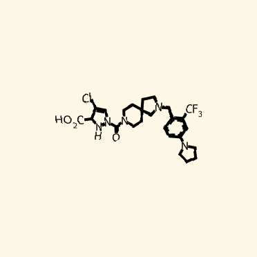 O=C(O)C1NN(C(=O)N2CCC3(CCN(Cc4ccc(N5CCCC5)cc4C(F)(F)F)C3)CC2)C=C1Cl